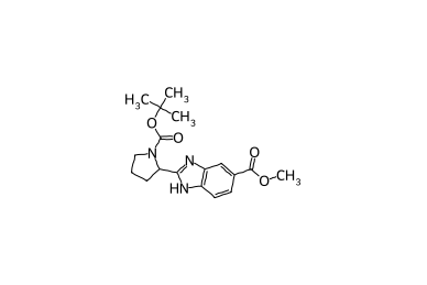 COC(=O)c1ccc2[nH]c(C3CCCN3C(=O)OC(C)(C)C)nc2c1